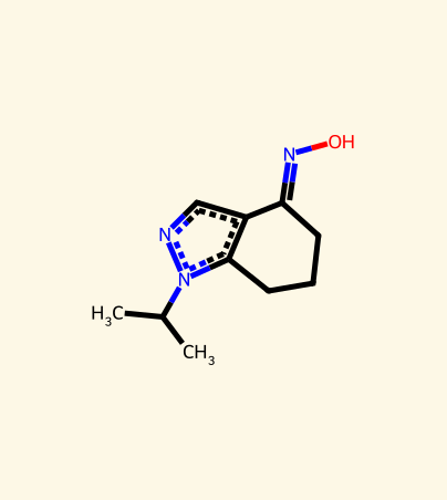 CC(C)n1ncc2c1CCCC2=NO